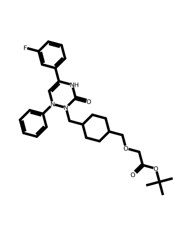 CC(C)(C)OC(=O)COCC1CCC(CN2C(=O)NC(c3cccc(F)c3)=CN2c2ccccc2)CC1